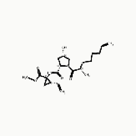 C=CCCCO[C@H](C)C(=O)N1C[C@@H](O)C[C@H]1C(=O)N[C@]1(C(=O)OC)C[C@H]1C=C